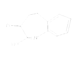 OC1Nc2ccccc2CCC1Br